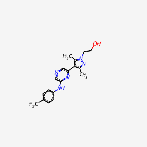 Cc1nn(CCO)c(C)c1-c1cncc(Nc2ccc(C(F)(F)F)cc2)n1